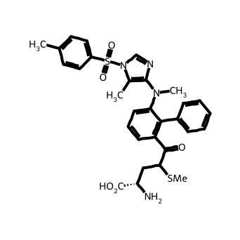 CSC(C[C@H](N)C(=O)O)C(=O)c1cccc(N(C)c2ncn(S(=O)(=O)c3ccc(C)cc3)c2C)c1-c1ccccc1